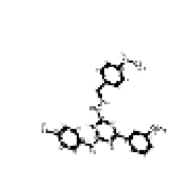 COc1cccc(-c2nc(N/N=C/c3ccc(OC(F)(F)F)cc3)nc(Nc3ccc(Cl)cc3)n2)c1